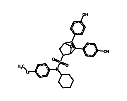 COc1ccc(N(C2CCCCC2)S(=O)(=O)C2CC3OC2C(c2ccc(O)cc2)=C3c2ccc(O)cc2)cc1